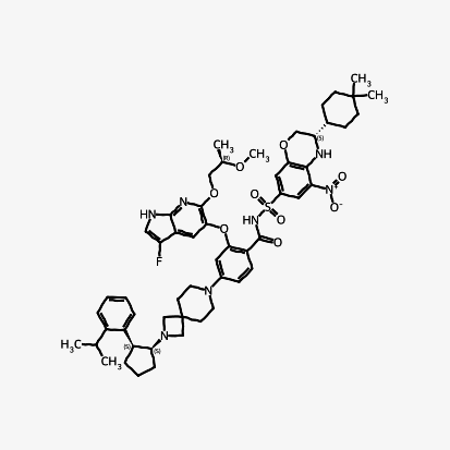 CO[C@H](C)COc1nc2[nH]cc(F)c2cc1Oc1cc(N2CCC3(CC2)CN([C@H]2CCC[C@H]2c2ccccc2C(C)C)C3)ccc1C(=O)NS(=O)(=O)c1cc2c(c([N+](=O)[O-])c1)N[C@@H](C1CCC(C)(C)CC1)CO2